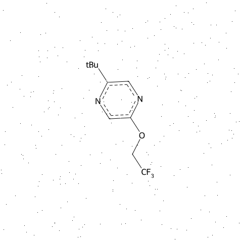 CC(C)(C)c1cnc(OCC(F)(F)F)cn1